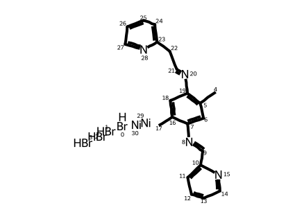 Br.Br.Br.Br.Cc1cc(N=Cc2ccccn2)c(C)cc1N=CCc1ccccn1.[Ni].[Ni]